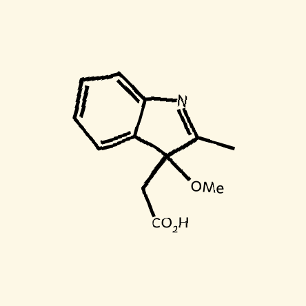 COC1(CC(=O)O)C(C)=Nc2ccccc21